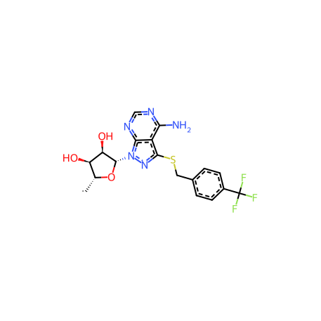 [CH2][C@H]1O[C@@H](n2nc(SCc3ccc(C(F)(F)F)cc3)c3c(N)ncnc32)[C@H](O)[C@@H]1O